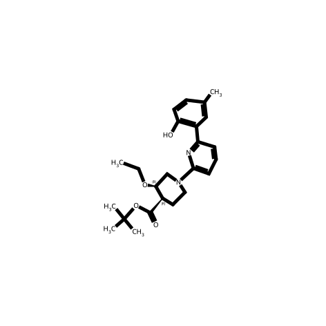 CCO[C@H]1CN(c2cccc(-c3cc(C)ccc3O)n2)CC[C@H]1C(=O)OC(C)(C)C